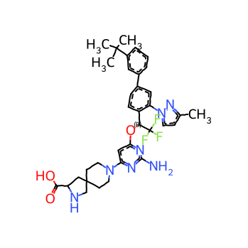 Cc1ccn(-c2cc(-c3cccc(C(C)(C)C)c3)ccc2[C@@H](Oc2cc(N3CCC4(CC3)CNC(C(=O)O)C4)nc(N)n2)C(F)(F)F)n1